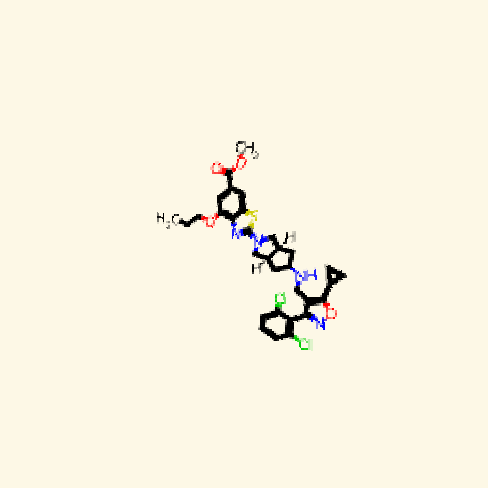 CCCOc1cc(C(=O)OC)cc2sc(N3C[C@H]4C[C@@H](NCc5c(-c6c(Cl)cccc6Cl)noc5C5CC5)C[C@H]4C3)nc12